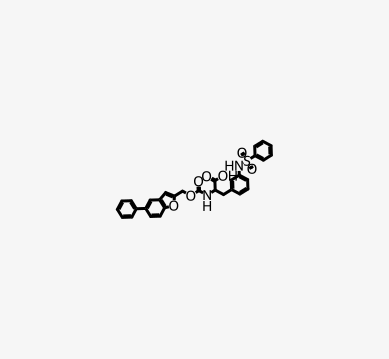 O=C(NC(Cc1cccc(NS(=O)(=O)c2ccccc2)c1)C(=O)O)OCc1cc2cc(-c3ccccc3)ccc2o1